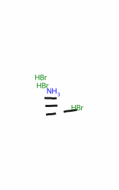 Br.Br.Br.CC.CC.CC.CC.N